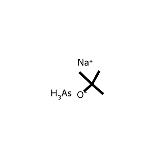 CC(C)(C)[O-].[AsH3].[Na+]